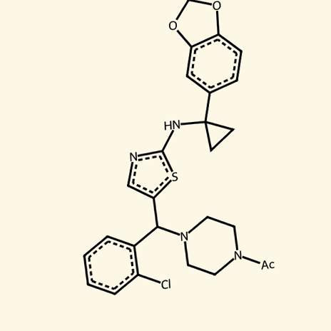 CC(=O)N1CCN(C(c2cnc(NC3(c4ccc5c(c4)OCO5)CC3)s2)c2ccccc2Cl)CC1